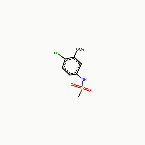 COc1cc(NS(C)(=O)=O)ccc1Br